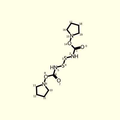 O=C(NSSNC(=O)ON1CCCC1)ON1CCCC1